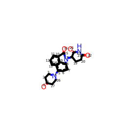 O=C1CCN(c2ccc3c4c(cccc24)C(=O)N3C2CCC(=O)NC2=O)CC1